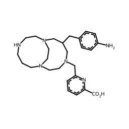 Nc1ccc(CC2CN3CCNCCCN(CC3)CCN(Cc3cccc(C(=O)O)n3)C2)cc1